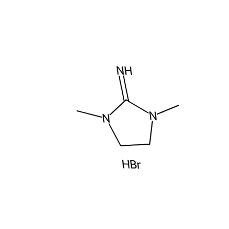 Br.CN1CCN(C)C1=N